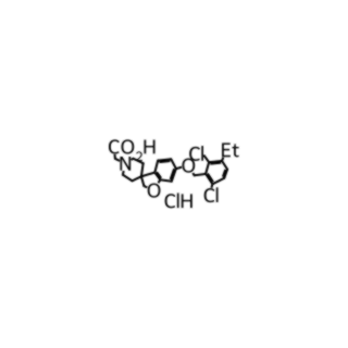 CCc1ccc(Cl)c(COc2ccc3c(c2)OCC32CCN(CC(=O)O)CC2)c1Cl.Cl